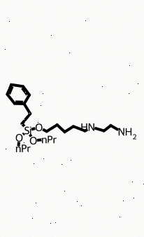 CCCO[Si](CCc1ccccc1)(OCCC)OCCCCCNCCN